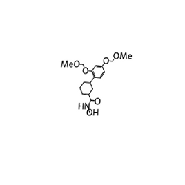 COCOc1ccc(C2CCCC(C(=O)NO)C2)c(OCOC)c1